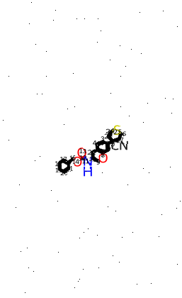 N#CC1(c2ccc3c(c2)OC[C@H](NC(=O)OCc2ccccc2)C3)CCSCC1